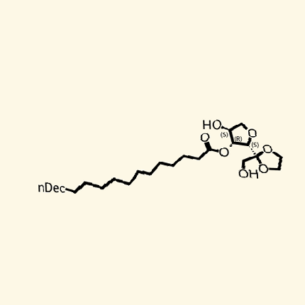 CCCCCCCCCCCCCCCCCCCCCC(=O)O[C@@H]1[C@@H](O)CO[C@@H]1C1(CO)OCCO1